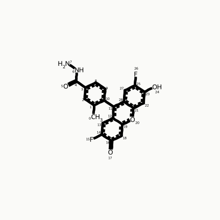 Cc1cc(C(=O)NN)ccc1-c1c2cc(F)c(=O)cc-2oc2cc(O)c(F)cc12